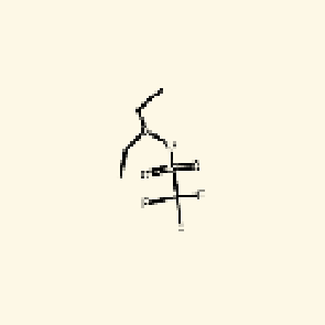 CCB(CC)OS(=O)(=O)C(F)(F)F